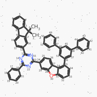 CC1(C)c2ccccc2-c2ccc(-c3nc(-c4ccccc4)nc(-c4ccc5c(c4)oc4cccc(-c6cc(-c7ccccc7)cc(-c7ccccc7)c6)c45)n3)cc21